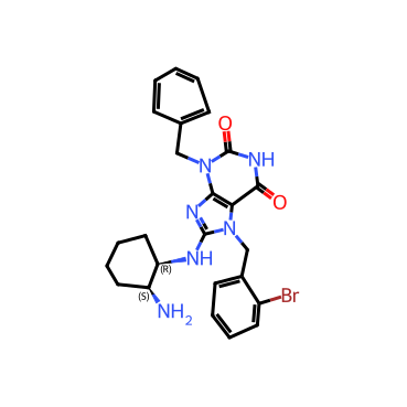 N[C@H]1CCCC[C@H]1Nc1nc2c(c(=O)[nH]c(=O)n2Cc2ccccc2)n1Cc1ccccc1Br